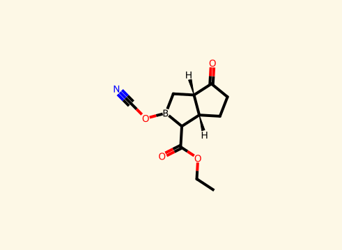 CCOC(=O)C1B(OC#N)C[C@@H]2C(=O)CC[C@H]12